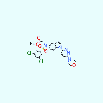 CC(C)(C)OC(=O)CN(c1ccc2c(ccn2-c2ccc(N3CCOCC3)nn2)c1)S(=O)(=O)c1cc(Cl)cc(Cl)c1